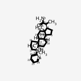 CC(C(N)=O)[C@H]1CC[C@H]2[C@@H]3CC[C@@H]4[C@](C)(CCC[N+]4(C)c4ccccn4)[C@H]3CC[C@]12C